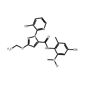 Cc1cc(C#N)cc([S+](C)[O-])c1NC(=O)c1cc(OCC(F)(F)F)nn1-c1ncccc1Cl